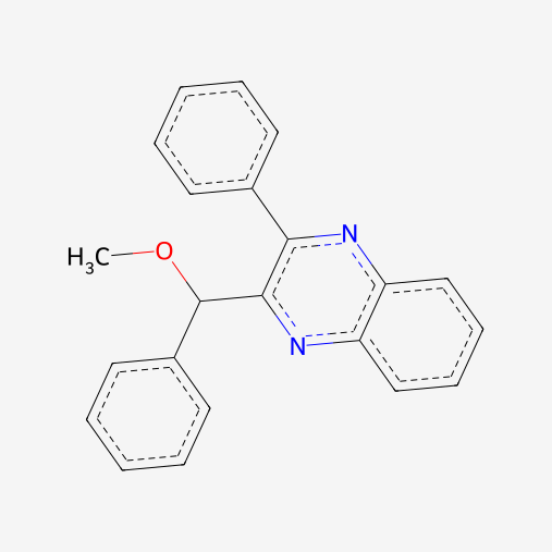 COC(c1ccccc1)c1nc2ccccc2nc1-c1ccccc1